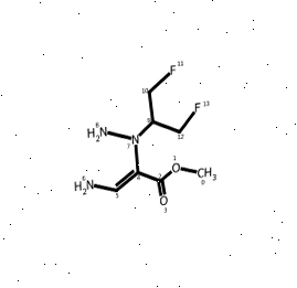 COC(=O)/C(=C/N)N(N)C(CF)CF